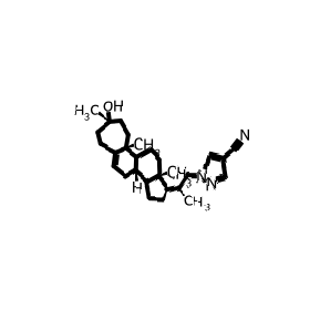 C[C@H](Cn1cc(C#N)cn1)[C@H]1CCC2[C@@H]3CC=C4CC[C@](C)(O)CC[C@]4(C)C3CC[C@@]21C